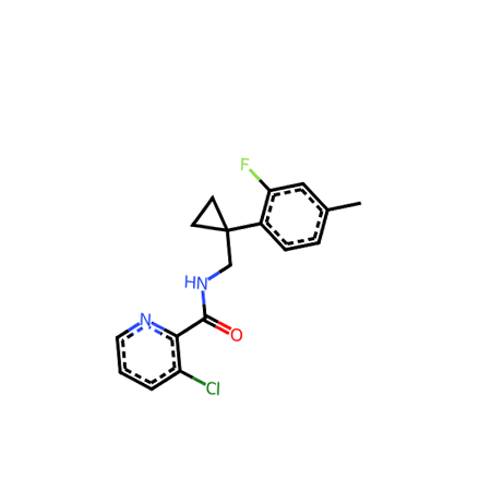 Cc1ccc(C2(CNC(=O)c3ncccc3Cl)CC2)c(F)c1